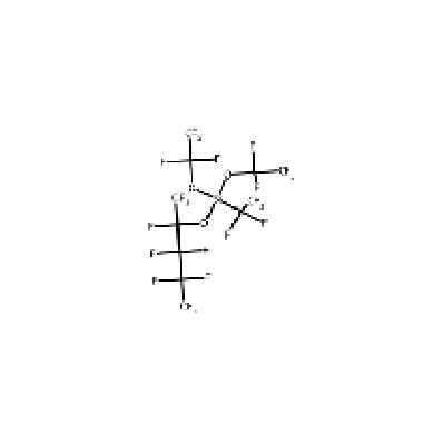 FC(F)(F)C(F)(F)O[Si](OC(F)(F)C(F)(F)F)(OC(F)(C(F)(F)F)C(F)(F)C(F)(F)C(F)(F)F)C(F)(F)C(F)(F)F